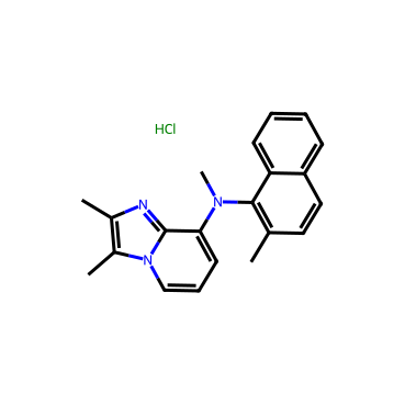 Cc1ccc2ccccc2c1N(C)c1cccn2c(C)c(C)nc12.Cl